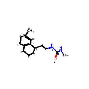 CCCNC(=O)NCCC1CCCc2ccc(C)cc21